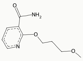 COCCCOc1ncccc1C(N)=O